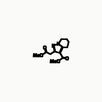 COC(=O)Cc1nn2c(c1C(=O)OC)CCCC2